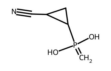 C=P(O)(O)C1CC1C#N